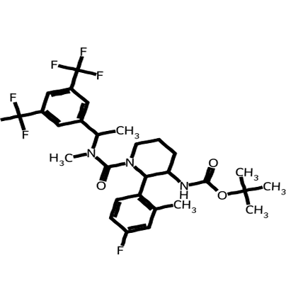 Cc1cc(F)ccc1C1C(NC(=O)OC(C)(C)C)CCCN1C(=O)N(C)C(C)c1cc(C(F)(F)F)cc(C(F)(F)F)c1